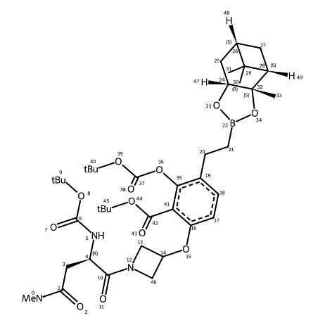 CNC(=O)C[C@@H](NC(=O)OC(C)(C)C)C(=O)N1CC(Oc2ccc(CCB3O[C@@H]4C[C@@H]5C[C@@H](C5(C)C)[C@]4(C)O3)c(OC(=O)OC(C)(C)C)c2C(=O)OC(C)(C)C)C1